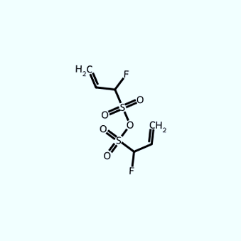 C=CC(F)S(=O)(=O)OS(=O)(=O)C(F)C=C